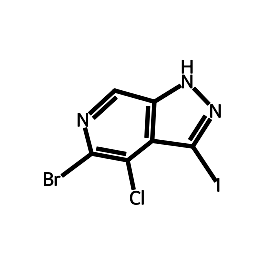 Clc1c(Br)ncc2[nH]nc(I)c12